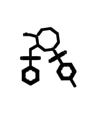 CCCCN1CCCCN(S(=O)(=O)c2ccc(C)cc2)CC1CS(=O)(=O)c1ccccc1